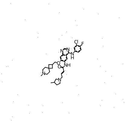 CC1CCN(C/C=C/C(=O)Nc2cc3c(Nc4ccc(F)c(Cl)c4)ncnc3cc2OCC2CC3(CCN(C)CC3)C2)C1